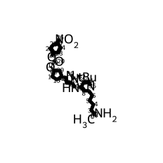 C[C@@H](N)CCCCc1cc(Nc2cc([C@H]3CC[C@@H](OC(=O)Oc4ccc([N+](=O)[O-])cc4)C3)nn2C(C)(C)C)ccn1